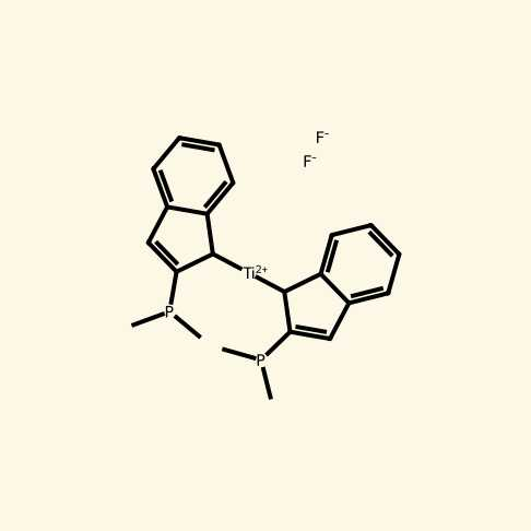 CP(C)C1=Cc2ccccc2[CH]1[Ti+2][CH]1C(P(C)C)=Cc2ccccc21.[F-].[F-]